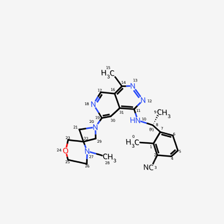 Cc1c(C#N)cccc1[C@@H](C)Nc1nnc(C)c2cnc(N3CC4(COCCN4C)C3)cc12